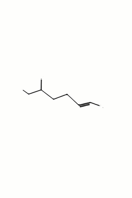 NC=CCCC(O)CO